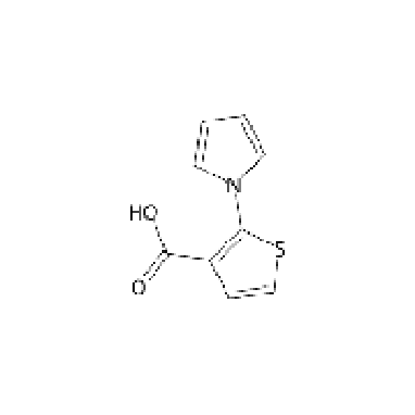 O=C(O)c1ccsc1-n1cccc1